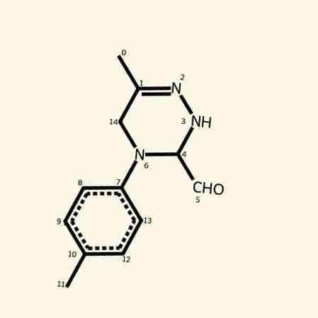 CC1=NNC(C=O)N(c2c[c]c(C)cc2)C1